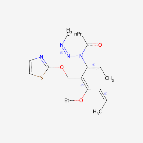 C\C=C/C(OCC)=C(COc1nccs1)\C(=C/C)N(/N=N\C)C(=O)CCC